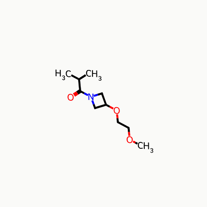 COCCOC1CN(C(=O)C(C)C)C1